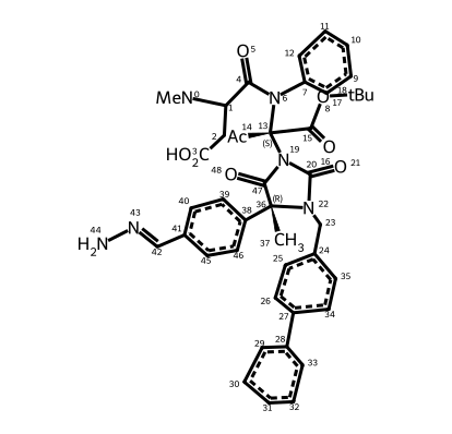 CNC(CC(=O)O)C(=O)N(c1ccccc1)[C@](C(C)=O)(C(=O)OC(C)(C)C)N1C(=O)N(Cc2ccc(-c3ccccc3)cc2)[C@](C)(c2ccc(C=NN)cc2)C1=O